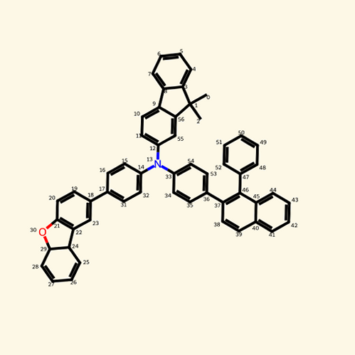 CC1(C)c2ccccc2-c2ccc(N(c3ccc(-c4ccc5c(c4)C4C=CC=CC4O5)cc3)c3ccc(-c4ccc5ccccc5c4-c4ccccc4)cc3)cc21